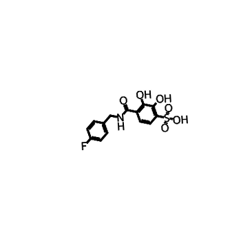 O=C(NCc1ccc(F)cc1)c1ccc(S(=O)(=O)O)c(O)c1O